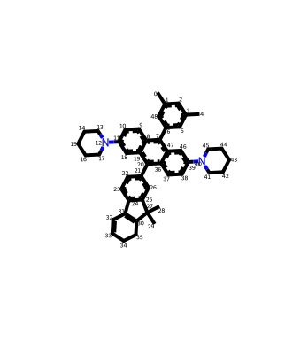 Cc1cc(C)cc(-c2c3ccc(N4CCCCC4)cc3c(-c3ccc4c(c3)C(C)(C)C3=C4C=CCC3)c3ccc(N4CCCCC4)cc23)c1